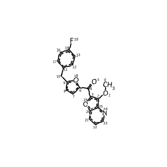 COc1c(C(=O)c2ccc(Cc3ccc(F)cc3)o2)oc2cccnc12